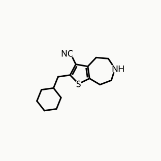 N#Cc1c(CC2CCCCC2)sc2c1CCNCC2